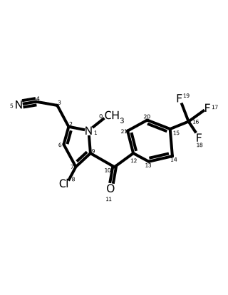 Cn1c(CC#N)cc(Cl)c1C(=O)c1ccc(C(F)(F)F)cc1